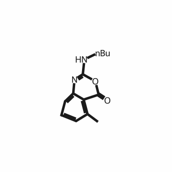 CCCCNc1nc2cccc(C)c2c(=O)o1